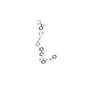 Cc1c(OC2CCC(CCCCN3CCN(c4cc5c(cc4F)c(C4CCC(=O)NC4=O)nn5C)CC3)CC2)cccc1-c1ccc(N2CCc3cccc(C(=O)Nc4nc5ccccc5s4)c3C2)nc1C(=O)O